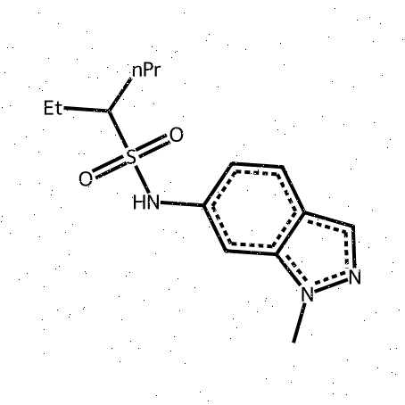 CCCC(CC)S(=O)(=O)Nc1ccc2cnn(C)c2c1